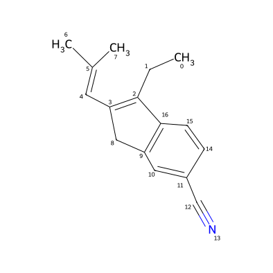 CCC1=C(C=C(C)C)Cc2cc(C#N)ccc21